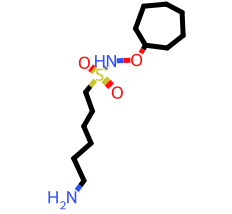 NCCCCCCS(=O)(=O)NOC1CCCCCC1